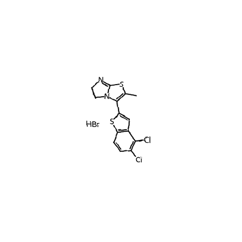 Br.CC1=C(c2cc3c(Cl)c(Cl)ccc3s2)N2CCN=C2S1